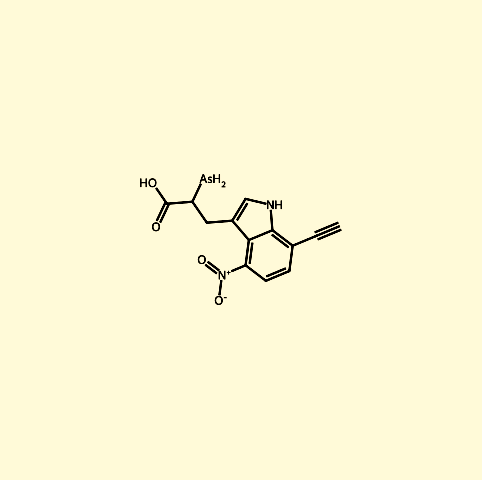 C#Cc1ccc([N+](=O)[O-])c2c(CC([AsH2])C(=O)O)c[nH]c12